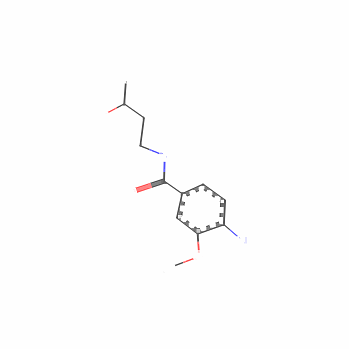 COc1cc(C(=O)NCCC(C)O)ccc1N